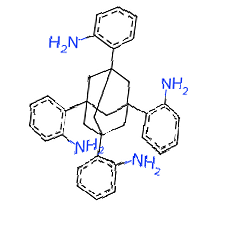 Nc1ccccc1C12CC3(c4ccccc4N)CC(c4ccccc4N)(C1)CC(c1ccccc1N)(C2)C3